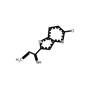 C=CC(=N)c1cc2nc(Cl)ccc2o1